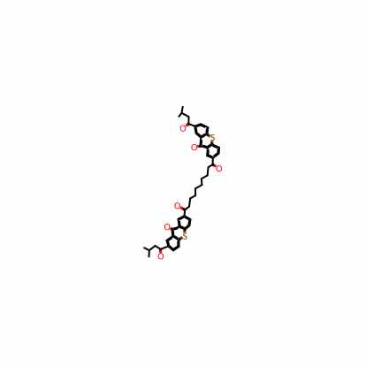 CC(C)CC(=O)c1ccc2sc3ccc(C(=O)CCCCCCCCC(=O)c4ccc5sc6ccc(C(=O)CC(C)C)cc6c(=O)c5c4)cc3c(=O)c2c1